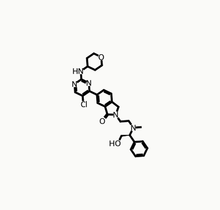 CN(CCN1Cc2ccc(-c3nc(NC4CCOCC4)ncc3Cl)cc2C1=O)[C@H](CO)c1ccccc1